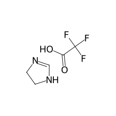 C1=NCCN1.O=C(O)C(F)(F)F